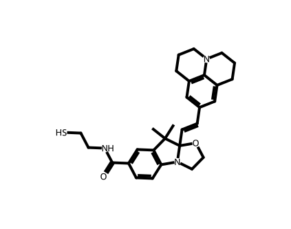 CC1(C)c2cc(C(=O)NCCS)ccc2N2CCOC21/C=C/c1cc2c3c(c1)CCCN3CCC2